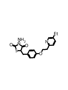 CCc1ccc(CCOc2ccc(CC3SC(=O)N(N)C3=O)cc2)nc1